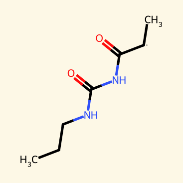 C[CH]C(=O)NC(=O)NCCC